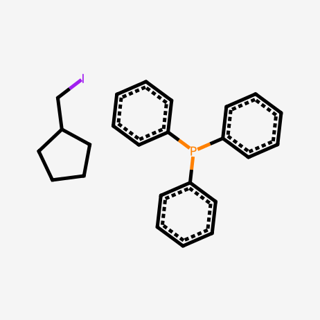 ICC1CCCC1.c1ccc(P(c2ccccc2)c2ccccc2)cc1